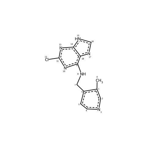 Cc1cnccc1CNc1nc(Cl)nc2[nH]cnc12